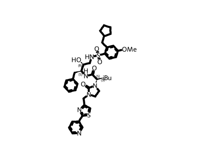 CC[C@H](C)[C@@H](C(=O)N[C@@H](Cc1ccccc1)[C@H](O)CNS(=O)(=O)c1ccc(OC)cc1CC1CCCC1)N1CCN(Cc2csc(-c3cccnc3)n2)C1=O